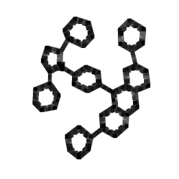 c1ccc(-c2ccc3cc4ccc(-c5ccccc5)cc4c(-c4ccc(-n5c(-c6ccccc6)ccc5-c5ccccc5)cc4)c3c2)cc1